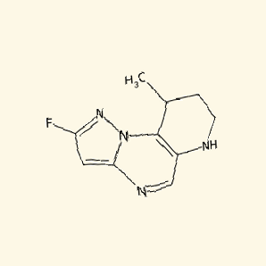 CC1CCNc2cnc3cc(F)nn3c21